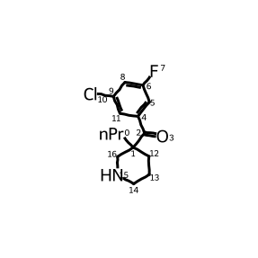 CCCC1(C(=O)c2cc(F)cc(Cl)c2)CCCNC1